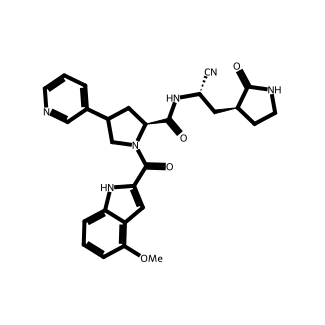 COc1cccc2[nH]c(C(=O)N3CC(c4cccnc4)C[C@H]3C(=O)N[C@H](C#N)C[C@@H]3CCNC3=O)cc12